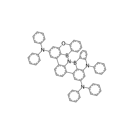 c1ccc(N(c2ccccc2)c2cc3c4c(c2)-c2cccc5c2N(B4c2ccccc2O3)B2c3ccccc3N(c3ccccc3)c3cc(N(c4ccccc4)c4ccccc4)cc-5c32)cc1